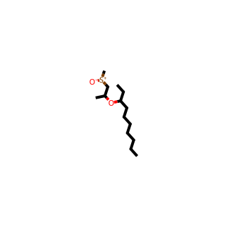 CCCCCCCC(CC)OC(C)C[S+](C)[O-]